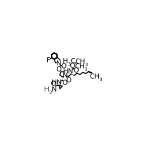 C/C=C\CCCCC[C@H](NC(=O)OC(C)(C)C)C(=O)N1C[C@H](OC(=O)N2Cc3cccc(F)c3C2)C[C@H]1C(=O)NC1(C(N)=O)CC1